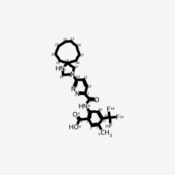 Cc1cc(C(=O)O)c(NC(=O)c2ccc(N3CNC4(CCCCCCCC4)C3)nn2)cc1C(F)(F)F